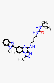 Cc1nnc2c(NCCCCNC(=O)NC(C)C)nc3cc(-c4nc5ccccc5n4C)ccc3n12